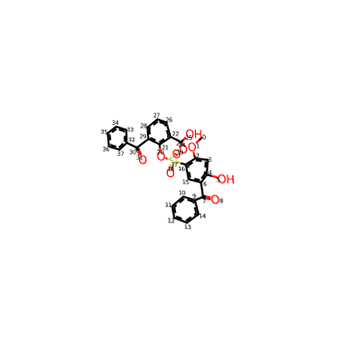 COc1cc(O)c(C(=O)c2ccccc2)cc1S(=O)(=O)Oc1c(C(=O)O)cccc1C(=O)c1ccccc1